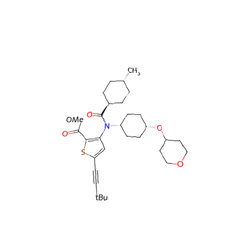 COC(=O)c1sc(C#CC(C)(C)C)cc1N(C(=O)[C@H]1CC[C@H](C)CC1)[C@H]1CC[C@@H](OC2CCOCC2)CC1